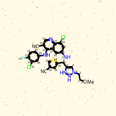 COCCN1C=C([C@@H](Nc2cc(Cl)c3ncc(C#N)c(Nc4ccc(F)c(Cl)c4)c3c2)c2cc(C#N)cs2)NN1